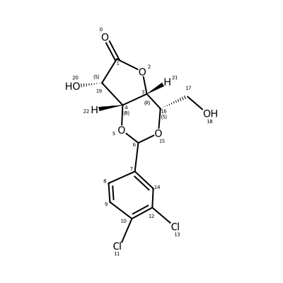 O=C1O[C@H]2[C@H](OC(c3ccc(Cl)c(Cl)c3)O[C@H]2CO)[C@@H]1O